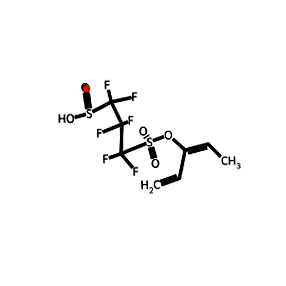 C=C/C(=C\C)OS(=O)(=O)C(F)(F)C(F)(F)C(F)(F)S(=O)(=O)O